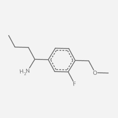 CCCC(N)c1ccc(COC)c(F)c1